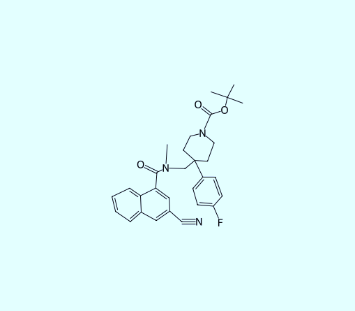 CN(CC1(c2ccc(F)cc2)CCN(C(=O)OC(C)(C)C)CC1)C(=O)c1cc(C#N)cc2ccccc12